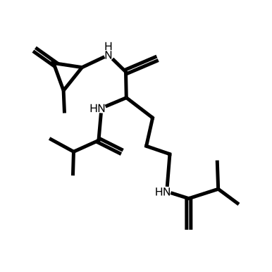 C=C(NCCCC(NC(=C)C(C)C)C(=C)NC1C(=C)C1C)C(C)C